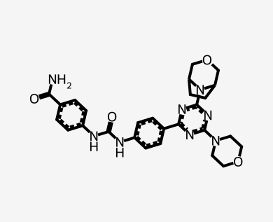 NC(=O)c1ccc(NC(=O)Nc2ccc(-c3nc(N4CCOCC4)nc(N4C5CCC4COC5)n3)cc2)cc1